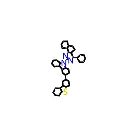 c1ccc(-c2nc(-n3c4ccccc4c4cc(-c5ccc6sc7ccccc7c6c5)ccc43)nc3c2ccc2ccccc23)cc1